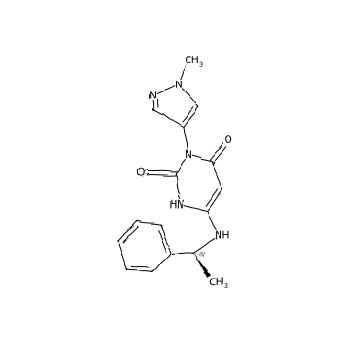 C[C@H](Nc1cc(=O)n(-c2cnn(C)c2)c(=O)[nH]1)c1ccccc1